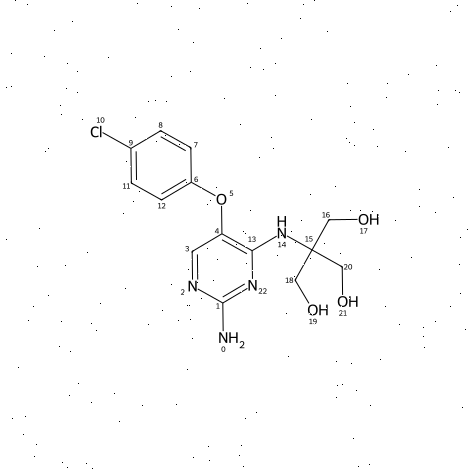 Nc1ncc(Oc2ccc(Cl)cc2)c(NC(CO)(CO)CO)n1